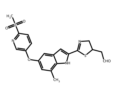 Cc1cc(Oc2ccc(S(C)(=O)=O)nc2)cc2cc(C3=NCC(CC=O)S3)[nH]c12